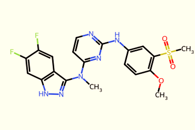 COc1ccc(Nc2nccc(N(C)c3n[nH]c4cc(F)c(F)cc34)n2)cc1S(C)(=O)=O